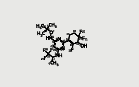 C[C@H](Nc1nc(NOC(C)(C)C)nc(C2=C(F)C(O)C(F)(F)CC2)n1)C(F)(F)F